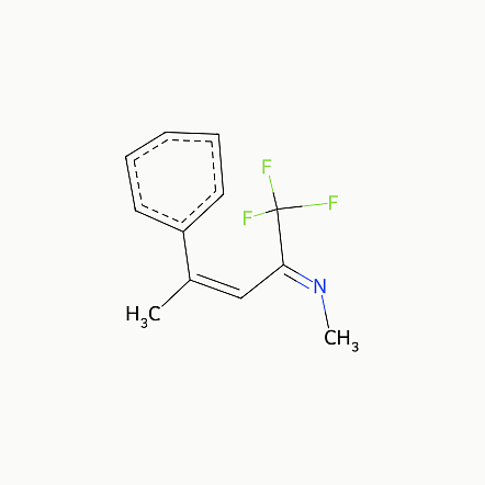 C/N=C(\C=C(\C)c1ccccc1)C(F)(F)F